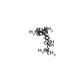 CN(C)CCNC(=O)Nc1ccc(-c2nc(N)cc(C(C)(C)S(C)(=O)=O)n2)cc1